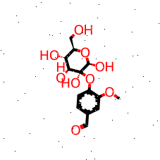 COc1cc(C=O)ccc1O[C@]1(O)[C@H](O)O[C@H](CO)[C@@H](O)[C@@H]1O